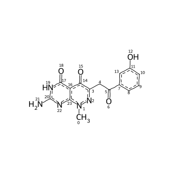 Cn1nc(CC(=O)c2cccc(O)c2)c(=O)c2c(=O)[nH]c(N)nc21